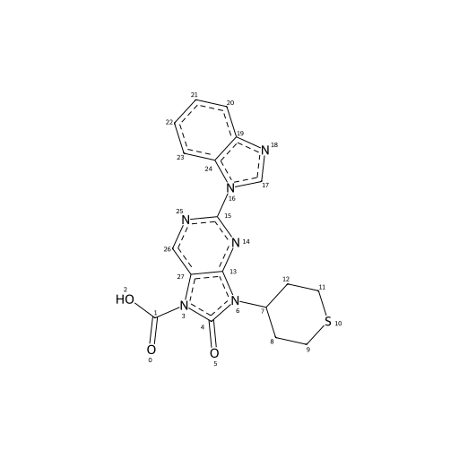 O=C(O)n1c(=O)n(C2CCSCC2)c2nc(-n3cnc4ccccc43)ncc21